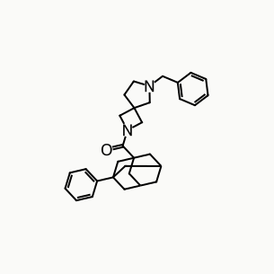 O=C(N1CC2(CCN(Cc3ccccc3)C2)C1)C12CC3CC(C1)CC(c1ccccc1)(C3)C2